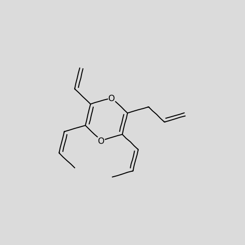 C=CCC1=C(/C=C\C)OC(/C=C\C)=C(C=C)O1